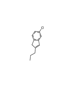 CCCC1=Cc2cc(Cl)ccc2C1